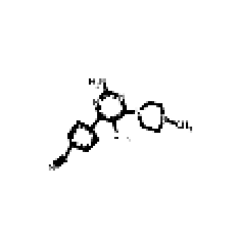 Cc1c(-c2ccc(C#N)cc2)nc(N)nc1N1CCN(C)CC1